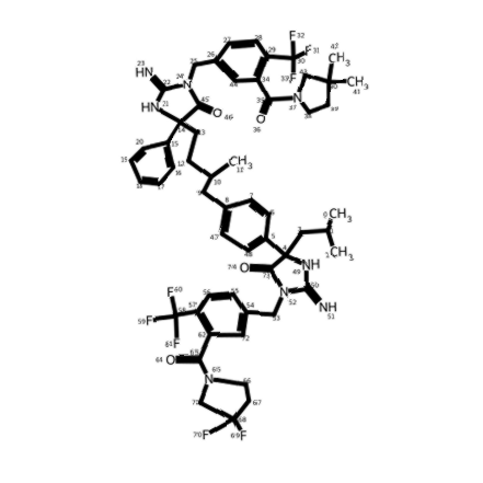 CC(C)CC1(c2ccc(CC(C)CCC3(c4ccccc4)NC(=N)N(Cc4ccc(C(F)(F)F)c(C(=O)N5CCC(C)(C)C5)c4)C3=O)cc2)NC(=N)N(Cc2ccc(C(F)(F)F)c(C(=O)N3CCC(F)(F)C3)c2)C1=O